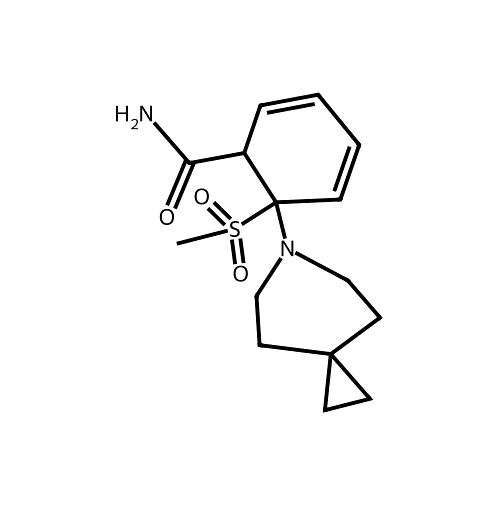 CS(=O)(=O)C1(N2CCC3(CC2)CC3)C=CC=CC1C(N)=O